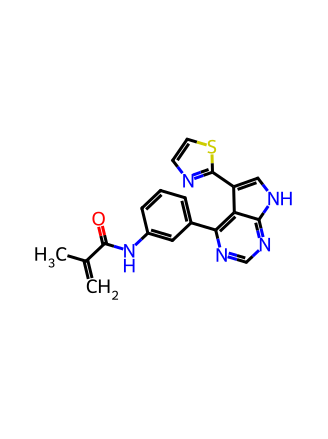 C=C(C)C(=O)Nc1cccc(-c2ncnc3[nH]cc(-c4nccs4)c23)c1